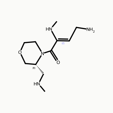 CNC[C@@H]1COCCN1C(=O)/C(=C/CN)NC